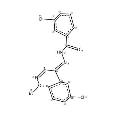 CCO/N=C\C(=N/NC(=O)c1cccc(Cl)c1)c1cccc(Cl)c1